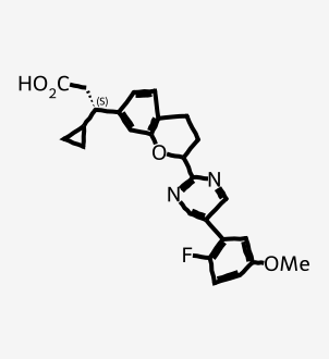 COc1ccc(F)c(-c2cnc(C3CCc4ccc([C@@H](CC(=O)O)C5CC5)cc4O3)nc2)c1